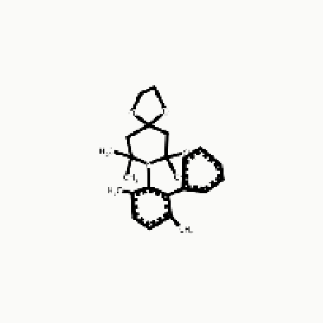 Cc1ccc(C)c(P2C(C)(C)CC3(CC2(C)C)OCCO3)c1-c1ccccc1